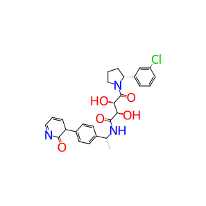 C[C@@H](NC(=O)[C@H](O)[C@@H](O)C(=O)N1CCC[C@@H]1c1cccc(Cl)c1)c1ccc(C2C=CC=NC2=O)cc1